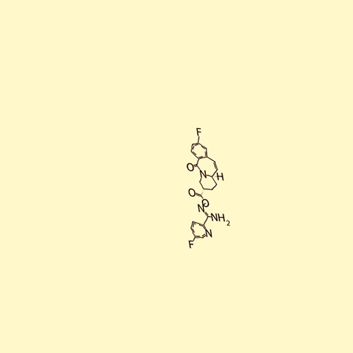 NC(=NOC(=O)[C@H]1CC[C@@H]2C=Cc3cc(F)ccc3C(=O)N2C1)c1ccc(F)cn1